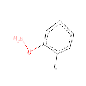 BOc1ccccc1[CH2]